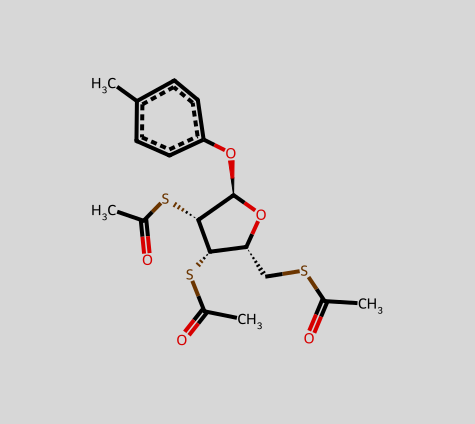 CC(=O)SC[C@H]1O[C@H](Oc2ccc(C)cc2)[C@@H](SC(C)=O)[C@H]1SC(C)=O